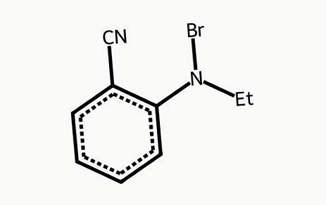 CCN(Br)c1ccccc1C#N